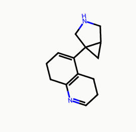 C1=NC2=C(CC1)C(C13CNCC1C3)=CCC2